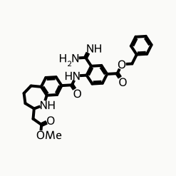 COC(=O)CC1CCCc2ccc(C(=O)Nc3ccc(C(=O)OCc4ccccc4)cc3C(=N)N)cc2N1